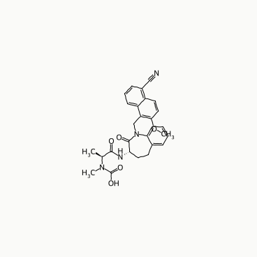 COc1ccc2c(C#N)cccc2c1CN1C(=O)[C@@H](NC(=O)[C@H](C)N(C)C(=O)O)CCc2ccccc21